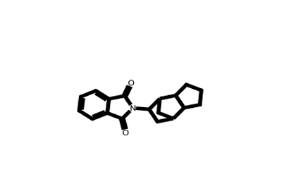 O=C1c2ccccc2C(=O)N1C1CC2CC1C1CCCC21